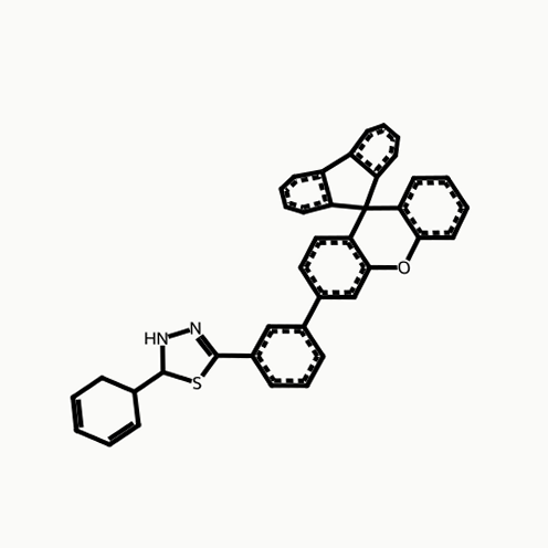 C1=CCC(C2NN=C(c3cccc(-c4ccc5c(c4)Oc4ccccc4C54c5ccccc5-c5ccccc54)c3)S2)C=C1